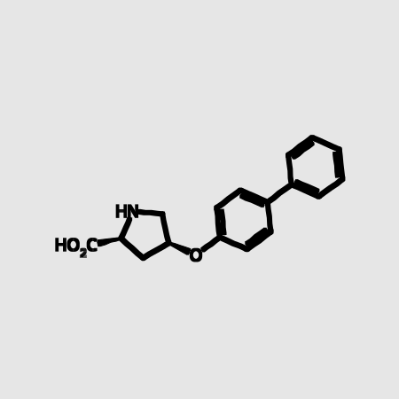 O=C(O)[C@@H]1C[C@H](Oc2ccc(-c3ccccc3)cc2)CN1